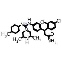 CC1CCC(/N=C(/Nc2ccc(C(CC(N)=O)c3ccc(Cl)cc3Cl)cc2)N2CC(C)NC(C)C2)CC1